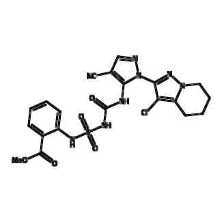 COC(=O)c1ccccc1NS(=O)(=O)NC(=O)Nc1c(C#N)cnn1-c1nn2c(c1Cl)CCCC2